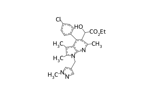 CCOC(=O)C(O)c1c(C)nc2c(c(C)c(C)n2Cc2cnn(C)c2)c1-c1ccc(Cl)cc1